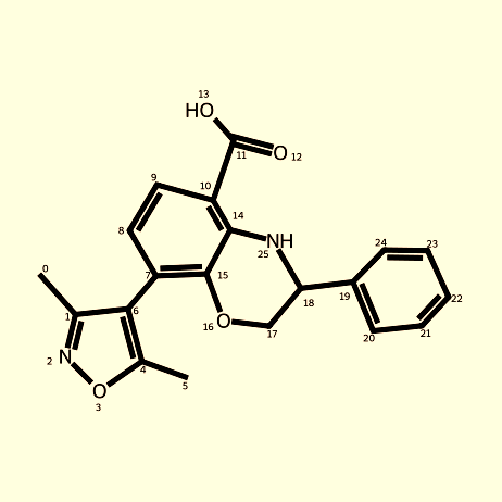 Cc1noc(C)c1-c1ccc(C(=O)O)c2c1OCC(c1ccccc1)N2